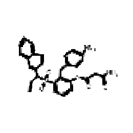 C=CC(c1ccc2ccccc2c1)S(=O)(=O)c1cccc(NC(=O)CC(N)=O)c1Cc1ccc([N+](=O)[O-])cc1